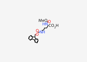 COC(=O)N[C@@H](CCCCNC(=O)OCC1c2ccccc2-c2ccccc21)C(=O)O